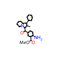 COC(=O)c1cc(C(=O)c2c(C)c(-c3ccccc3)c3ccccn23)ccc1N